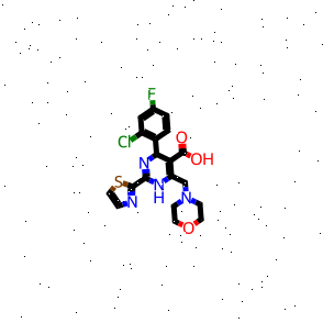 O=C(O)C1=C(CN2CCOCC2)NC(c2nccs2)=NC1c1ccc(F)cc1Cl